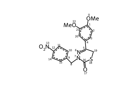 COc1ccc(C2=NN(Cc3ccc([N+](=O)[O-])cc3)C(=O)SC2)cc1OC